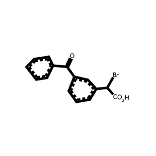 O=C(c1ccccc1)c1cccc(C(Br)C(=O)O)c1